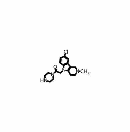 CN1CCc2c(c3cc(Cl)ccc3n2CC(=O)N2CCNCC2)C1